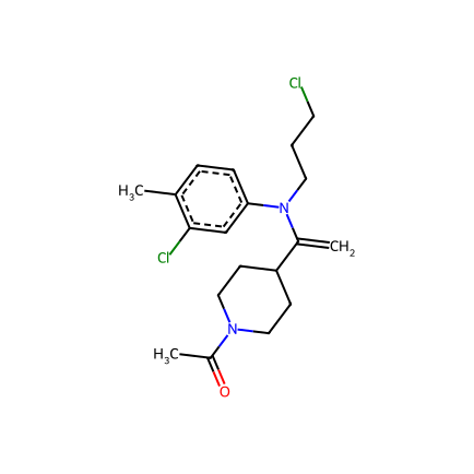 C=C(C1CCN(C(C)=O)CC1)N(CCCCl)c1ccc(C)c(Cl)c1